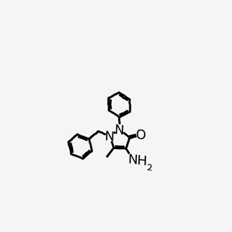 Cc1c(N)c(=O)n(-c2ccccc2)n1Cc1ccccc1